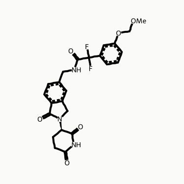 COCOc1cccc(C(F)(F)C(=O)NCc2ccc3c(c2)CN([C@@H]2CCC(=O)NC2=O)C3=O)c1